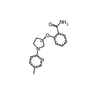 Cc1ccc(N2CC[C@@H](Oc3ccccc3C(N)=O)C2)nc1